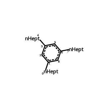 CCCCCCCc1[c]c(CCCCCCC)cc(CCCCCCC)c1